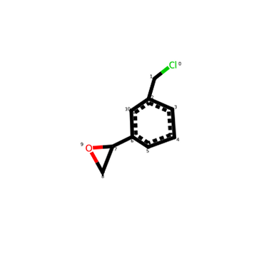 ClCc1cccc(C2CO2)c1